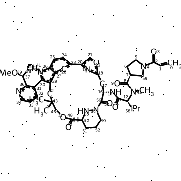 C=CC(=O)N1CC[C@H](C(=O)N(C)[C@H](C(=O)N[C@H]2Cc3nc(co3)-c3ccc4c(c3)c(c(-c3cccnc3[C@H](C)OC)n4CC)CC(C)(C)COC(=O)[C@@H]3CCCN(N3)C2=O)C(C)C)C1